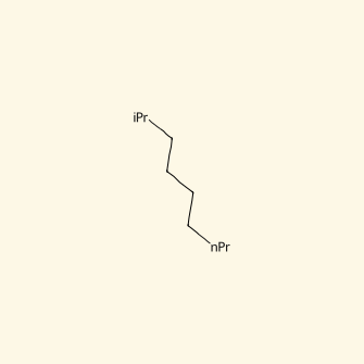 [CH2]C([CH2])CCCCCCC